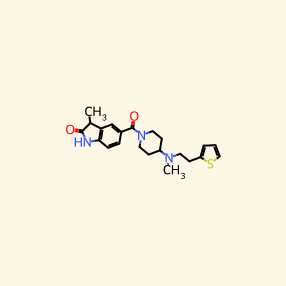 CC1C(=O)Nc2ccc(C(=O)N3CCC(N(C)CCc4cccs4)CC3)cc21